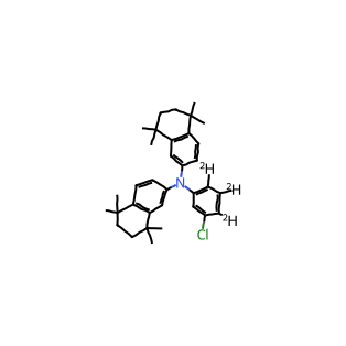 [2H]c1c(Cl)cc(N(c2ccc3c(c2)C(C)(C)CCC3(C)C)c2ccc3c(c2)C(C)(C)CCC3(C)C)c([2H])c1[2H]